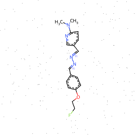 CN(C)c1ccc(/C=N/N=C/c2ccc(OCCF)cc2)cn1